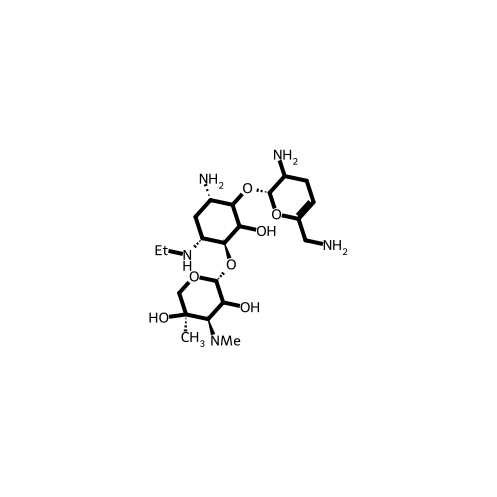 CCN[C@@H]1C[C@H](N)C(O[C@H]2OC(CN)=CCC2N)C(O)[C@H]1O[C@H]1OC[C@](C)(O)[C@H](NC)C1O